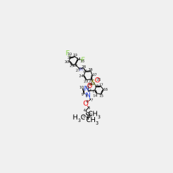 C[Si](C)(C)CCOCn1ccnc1-c1ccccc1S(=O)(=O)c1ccc(/C=C/c2ccc(F)cc2F)cc1